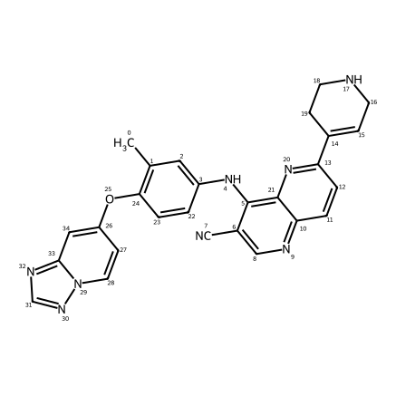 Cc1cc(Nc2c(C#N)cnc3ccc(C4=CCNCC4)nc23)ccc1Oc1ccn2ncnc2c1